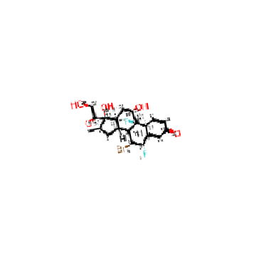 C[C@@H]1C[C@H]2[C@@H]3[C@H](Br)[C@@H](F)C4=CC(=O)C=C[C@]4(C)[C@@]3(F)[C@@H](O)C[C@]2(C)[C@@]1(O)C(=O)CO